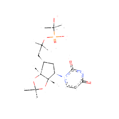 CCC(CC)(C[C@H]1C[C@@H](n2ccc(=O)[nH]c2=O)[C@@H]2OC(C)(C)O[C@H]12)OP(=O)(O)C(O)(CC)CC